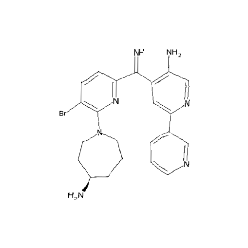 N=C(c1ccc(Br)c(N2CCC[C@@H](N)CC2)n1)c1cc(-c2cccnc2)ncc1N